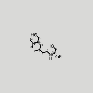 CCC[C@@H](CO)NCCC(C)C[C@H](CO)N(C)C